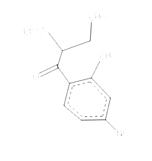 [C-]#[N+]c1ccc(C(=O)C(CC=O)C(=O)OCC)c(C)c1